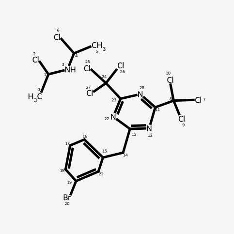 CC(Cl)NC(C)Cl.ClC(Cl)(Cl)c1nc(Cc2cccc(Br)c2)nc(C(Cl)(Cl)Cl)n1